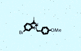 COc1ccc(Cn2nc(I)c3ccc(Br)cc32)cc1